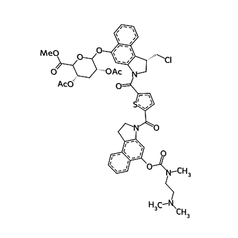 COC(=O)C1OC(Oc2cc3c(c4ccccc24)[C@H](CCl)CN3C(=O)c2ccc(C(=O)N3CCc4c3cc(OC(=O)N(C)CCN(C)C)c3ccccc43)s2)[C@H](OC(C)=O)C[C@@H]1OC(C)=O